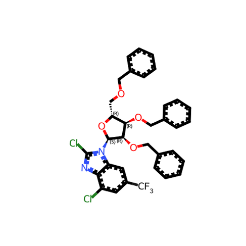 FC(F)(F)c1cc(Cl)c2nc(Cl)n([C@H]3O[C@H](COCc4ccccc4)[C@@H](OCc4ccccc4)[C@H]3OCc3ccccc3)c2c1